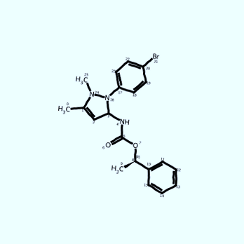 CC1=CC(NC(=O)O[C@H](C)c2ccccc2)N(c2ccc(Br)cc2)N1C